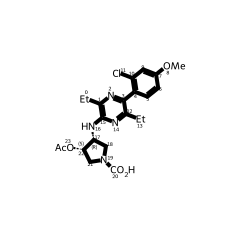 CCc1nc(-c2ccc(OC)cc2Cl)c(CC)nc1N[C@@H]1CN(C(=O)O)C[C@@H]1OC(C)=O